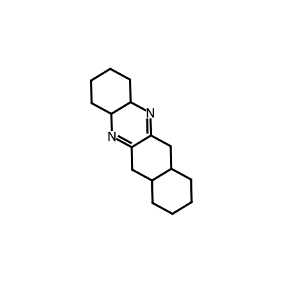 C1CCC2CC3=NC4CCCCC4N=C3CC2C1